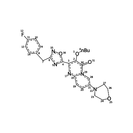 CCCCOc1c(-c2nc(Cc3ccc(F)cc3)no2)nc2ccc(N3CCOCC3)cn2c1=O